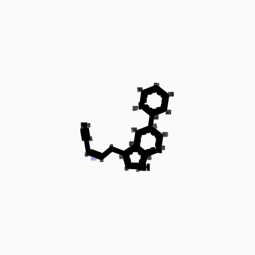 N#C/C=C\Cc1c[nH]c2ncc(-c3ccccn3)cc12